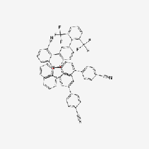 N#Cc1ccc(-c2ccc3c(c2)c2ccccc2n3-c2ccc(-c3c(C(F)(F)F)cccc3C(F)(F)F)cc2-c2c(C#N)cccc2-n2c3ccccc3c3cc(-c4ccc(C#N)cc4)ccc32)cc1